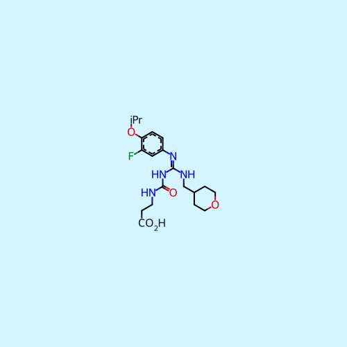 CC(C)Oc1ccc(/N=C(/NCC2CCOCC2)NC(=O)NCCC(=O)O)cc1F